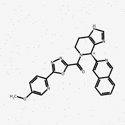 COc1ccc(-c2nnc(C(=O)N3CCc4[nH]cnc4[C@H]3c3cc4ccccc4cn3)o2)nc1